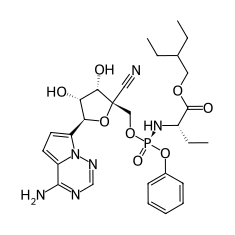 CCC(CC)COC(=O)[C@H](CC)N[P@@](=O)(OC[C@@]1(C#N)O[C@@H](c2ccc3c(N)ncnn23)[C@H](O)[C@@H]1O)Oc1ccccc1